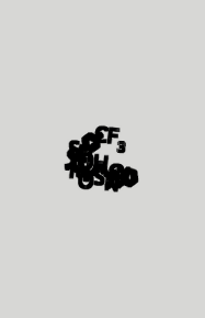 CC(=NNC(=O)c1ccc(C(=O)N(C)Cc2ccccn2)s1)c1csc(-c2ccc(C(F)(F)F)cc2)c1O